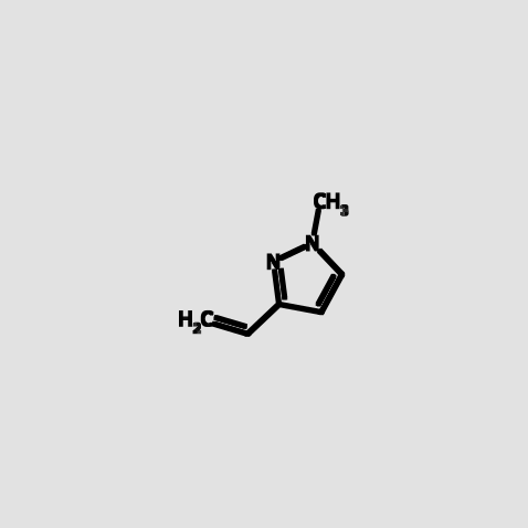 C=Cc1ccn(C)n1